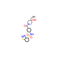 CC(C)CC1(O)CCN(C(=O)c2ccc(NS(=O)(=O)c3cccc4snnc34)cc2)CC1